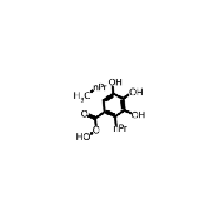 CCCC.CCCc1c(C(=O)OO)cc(O)c(O)c1O